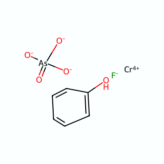 O=[As]([O-])([O-])[O-].Oc1ccccc1.[Cr+4].[F-]